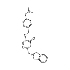 CN(C)Sc1ccc(COc2coc(CN3Cc4ccccc4C3)cc2=O)cc1